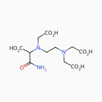 NC(=O)C(C(=O)O)N(CCN(CC(=O)O)CC(=O)O)CC(=O)O